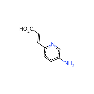 Nc1ccc(/C=C/C(=O)O)nc1